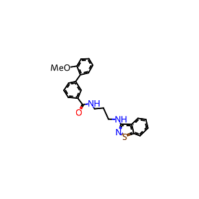 COc1ccccc1-c1cccc(C(=O)NCCCNc2nsc3ccccc23)c1